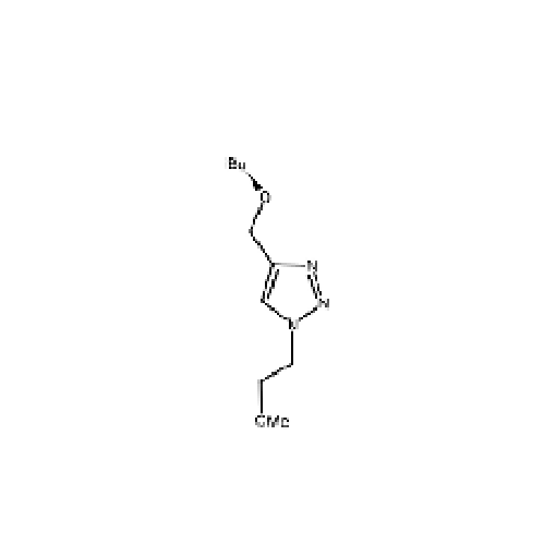 CC[C@H](C)OCc1cn(CCOC)nn1